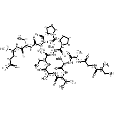 CCCC[C@H](NC(=O)[C@@H](NC(=O)CNC(=O)[C@@H](N)CS)[C@@H](C)CC)C(=O)N[C@H](C(=O)N[C@@H](C)C(=O)N[C@@H](CO)C(=O)N[C@H](C(=O)N1CCC[C@H]1C(=O)N1CCC[C@H]1C(=O)N[C@H](C(=O)N[C@@H](CS)C(=O)N[C@@H](CCC(N)=O)C(=O)O)[C@@H](C)CC)[C@@H](C)CC)[C@@H](C)O